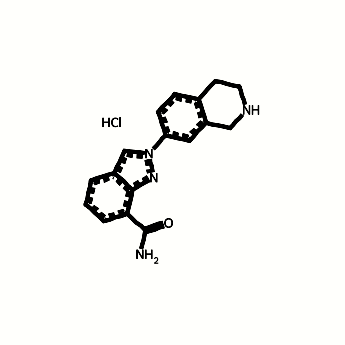 Cl.NC(=O)c1cccc2cn(-c3ccc4c(c3)CNCC4)nc12